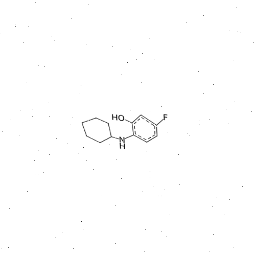 Oc1cc(F)ccc1NC1CCCCC1